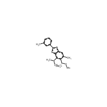 Cc1cccc(-c2nc3cc(C)c([C@H](OC(C)(C)C)C(=O)O)c(N(C)C)c3s2)c1